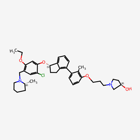 CCOc1cc(O[C@H]2CCc3c(-c4cccc(OCCCN5CC[C@@H](O)C5)c4C)cccc32)c(Cl)cc1CN1CCCC[C@H]1C